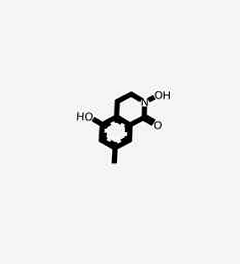 Cc1cc(O)c2c(c1)C(=O)N(O)CC2